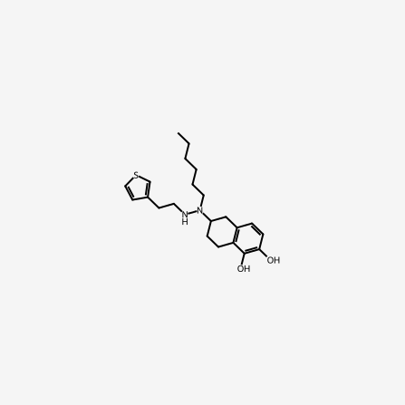 CCCCCCN(NCCc1ccsc1)C1CCc2c(ccc(O)c2O)C1